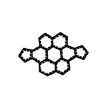 c1cc2c(c1)c1ccc3ccc4c5cccc5c5ccc6ccc2c2c6c5c4c3c12